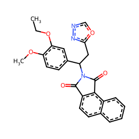 CCOc1cc(C(Cc2nnco2)N2C(=O)c3ccc4ccccc4c3C2=O)ccc1OC